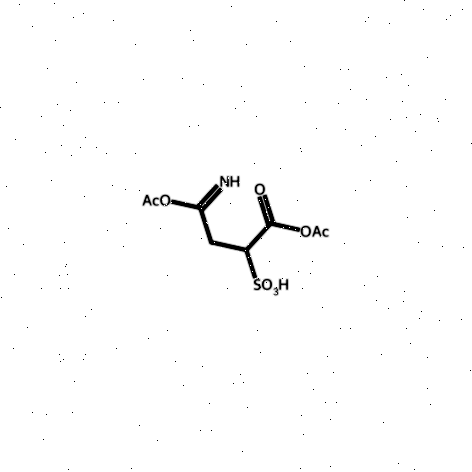 CC(=O)OC(=N)CC(C(=O)OC(C)=O)S(=O)(=O)O